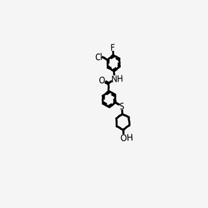 O=C(Nc1ccc(F)c(Cl)c1)c1cccc(SC2CCC(O)CC2)c1